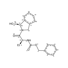 CC[C@H](NC(=O)OCc1ccccc1)C(=O)N1Cc2ccccc2[C@@H]1C(=O)O